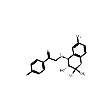 CC1(C)Oc2ccc(C(F)(F)F)cc2[C@H](NCC(=O)c2ccc(F)cc2)[C@H]1O